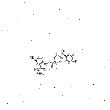 NNC(=O)c1cc(Cl)ccc1OCC(=O)N1CCC(C(=O)c2ccc(F)cc2)CC1